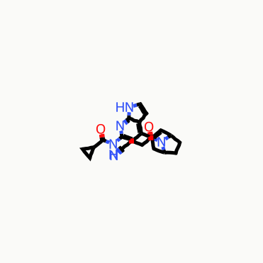 N#CCCC(=O)N1C2C=C(c3cc(NC(=O)C4CC4)nc4[nH]ccc34)CC1CC2